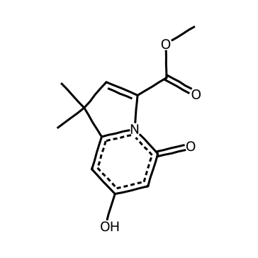 COC(=O)C1=CC(C)(C)c2cc(O)cc(=O)n21